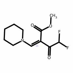 COC(=O)/C(=C\N1CCCCC1)C(=O)C(F)F